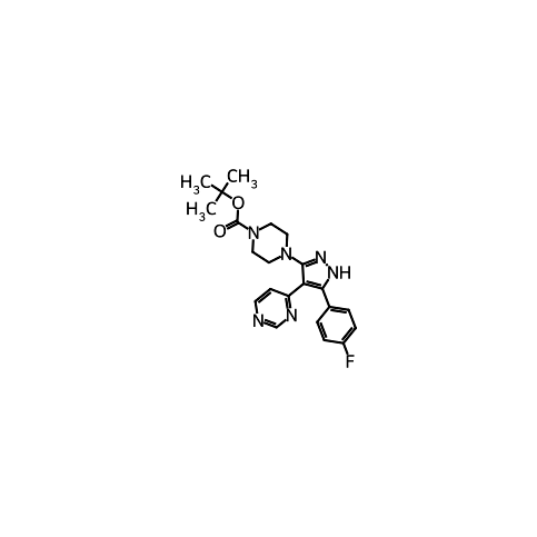 CC(C)(C)OC(=O)N1CCN(c2n[nH]c(-c3ccc(F)cc3)c2-c2ccncn2)CC1